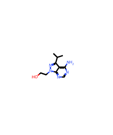 CC(C)c1nn(CCO)c2ncnc(N)c12